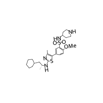 COc1ccc(-c2sc(N[C@H](C)CC3CCCCC3)nc2C)cc1S(=O)(=O)NC1CCNCC1